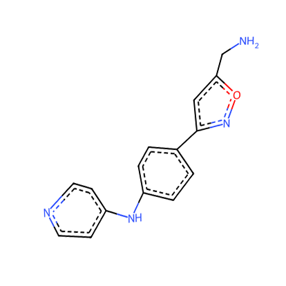 NCc1cc(-c2ccc(Nc3ccncc3)cc2)no1